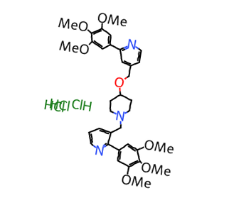 COc1cc(-c2cc(COC3CCN(Cc4cccnc4-c4cc(OC)c(OC)c(OC)c4)CC3)ccn2)cc(OC)c1OC.Cl.Cl.Cl